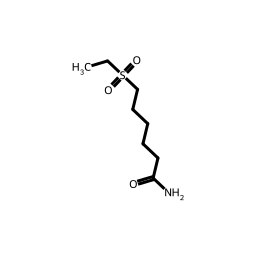 CCS(=O)(=O)CCCCCC(N)=O